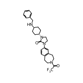 O=C1N(c2ccc3c(c2)CCN(C(=O)C(F)(F)F)CC3)CCN1[C@H]1CC[C@H](NCc2ccccc2)CC1